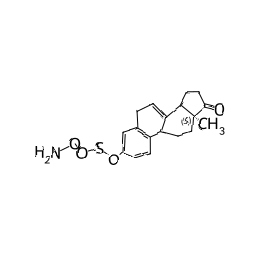 C[C@]12CCC3C(=CCc4cc(OSOON)ccc43)C1CCC2=O